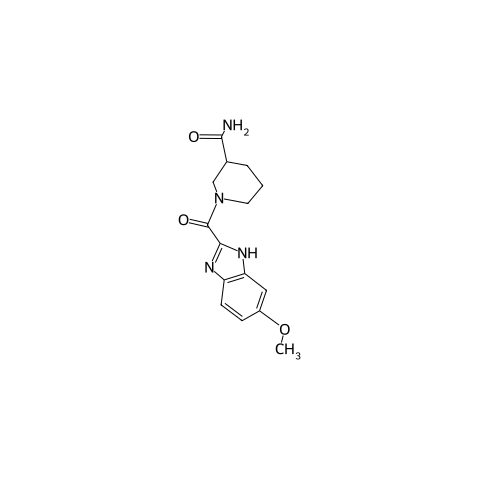 COc1ccc2nc(C(=O)N3CCCC(C(N)=O)C3)[nH]c2c1